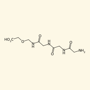 NCC(=O)NCC(=O)NCC(=O)NCOCC(=O)O